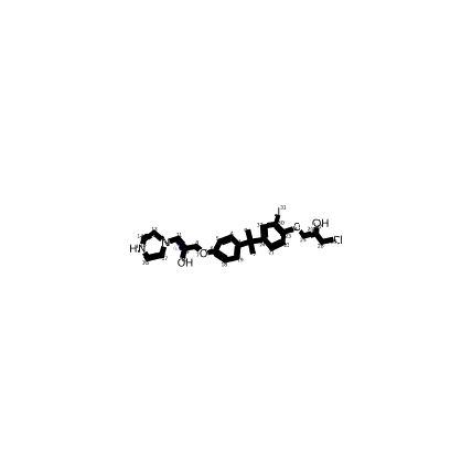 CC(C)(c1ccc(OC/C(O)=C/N2CCNCC2)cc1)c1ccc(OCC(O)CCl)c(I)c1